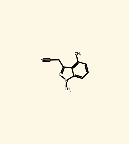 Cc1cccc2c1c(CC#N)nn2C